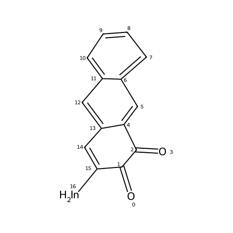 O=C1C(=O)c2cc3ccccc3cc2C=[C]1[InH2]